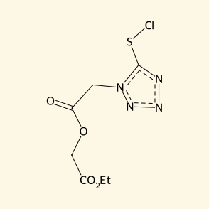 CCOC(=O)COC(=O)Cn1nnnc1SCl